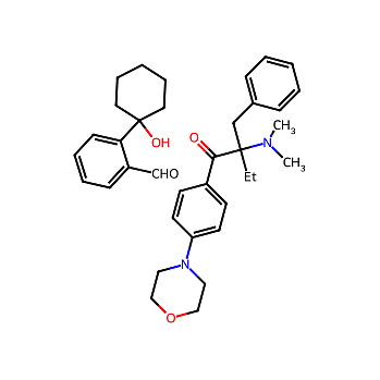 CCC(Cc1ccccc1)(C(=O)c1ccc(N2CCOCC2)cc1)N(C)C.O=Cc1ccccc1C1(O)CCCCC1